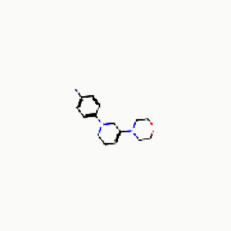 Ic1ccc(N2CCC=C(N3CCOCC3)C2)cc1